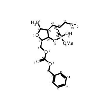 B[C@@H]1O[C@H](COC(=O)OCc2ccccc2)C(OP(=O)(O)OC)[C@@H]1CCCN